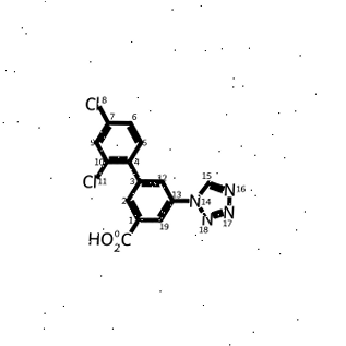 O=C(O)c1cc(-c2ccc(Cl)cc2Cl)cc(-n2cnnn2)c1